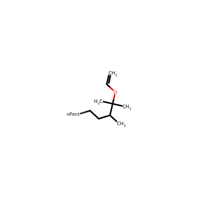 C=COC(C)(C)C(C)CCCCCCC